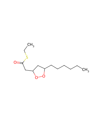 CCCCCCC1CC(CC(=O)SCC)OO1